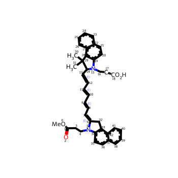 COC(=O)CCN1/C(=C/C=C/C=C/C=C/C2N(CCC(=O)O)c3ccc4ccccc4c3C2(C)C)Cc2c1ccc1ccccc21